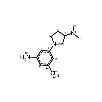 CN(C)C1CCN(c2cc(N)cc(C(F)(F)F)c2)C1